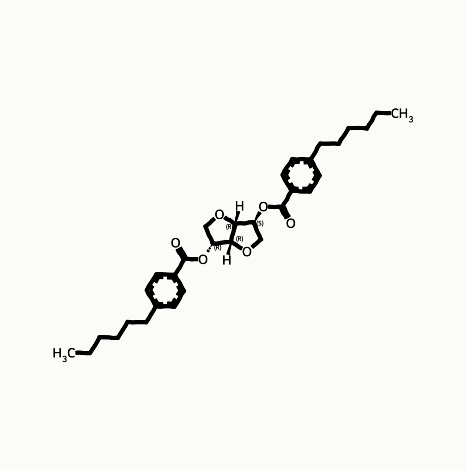 CCCCCCc1ccc(C(=O)O[C@H]2CO[C@H]3[C@@H]2OC[C@H]3OC(=O)c2ccc(CCCCCC)cc2)cc1